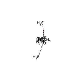 CCCCCCCCCCCCCCCCCC(=O)NC(C)c1cn(C)c(C(=O)CCCCCCCCCCCCCCCCC)n1.COS(=O)(=O)O